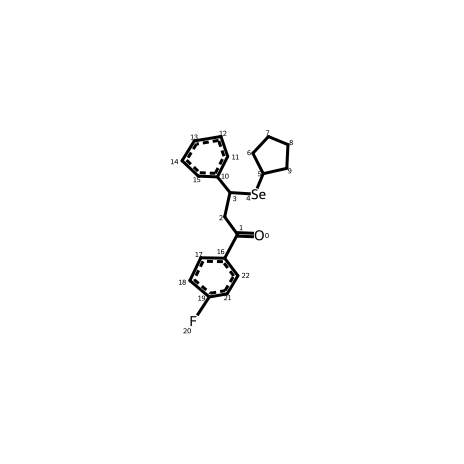 O=C(CC([Se]C1CCCC1)c1ccccc1)c1ccc(F)cc1